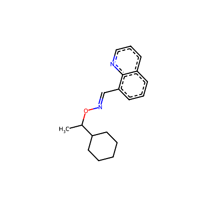 CC(ON=Cc1cccc2cccnc12)C1CCCCC1